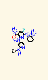 CCNc1cc(Nc2nc(NC3CCCC[C@@H]3N)c(F)cc2C(N)=O)ccn1